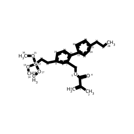 C=C(C)C(=O)OCc1cc(CC[Si](OC)(OC)OC)ccc1-c1ccc(CCC)cc1